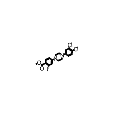 COC(=O)c1ccc(N2CCN(c3ccc(Cl)c(Cl)c3)CC2)cc1F